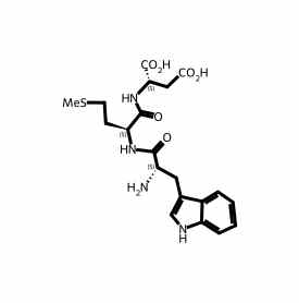 CSCC[C@H](NC(=O)[C@@H](N)Cc1c[nH]c2ccccc12)C(=O)N[C@@H](CC(=O)O)C(=O)O